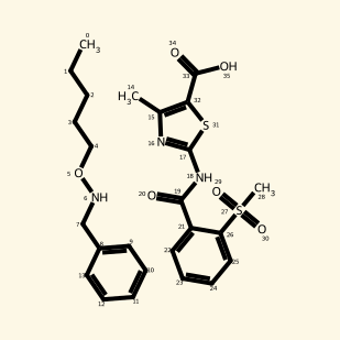 CCCCCONCc1ccccc1.Cc1nc(NC(=O)c2ccccc2S(C)(=O)=O)sc1C(=O)O